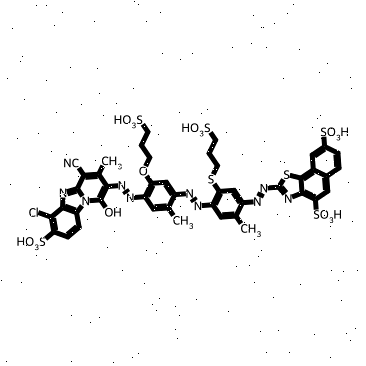 Cc1cc(N=Nc2cc(OCCCS(=O)(=O)O)c(N=Nc3c(C)c(C#N)c4nc5c(Cl)c(S(=O)(=O)O)ccc5n4c3O)cc2C)c(SCCCS(=O)(=O)O)cc1N=Nc1nc2c(S(=O)(=O)O)cc3ccc(S(=O)(=O)O)cc3c2s1